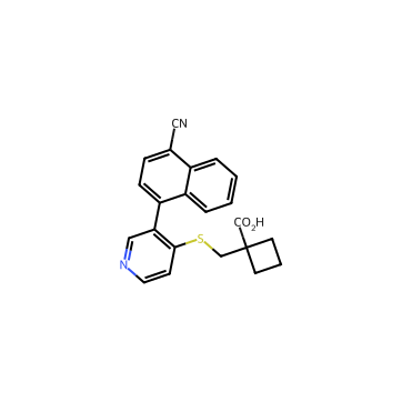 N#Cc1ccc(-c2cnccc2SCC2(C(=O)O)CCC2)c2ccccc12